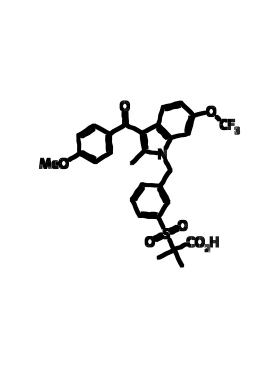 COc1ccc(C(=O)c2c(C)n(Cc3cccc(S(=O)(=O)C(C)(C)C(=O)O)c3)c3cc(OC(F)(F)F)ccc23)cc1